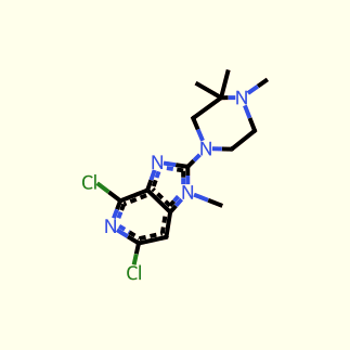 CN1CCN(c2nc3c(Cl)nc(Cl)cc3n2C)CC1(C)C